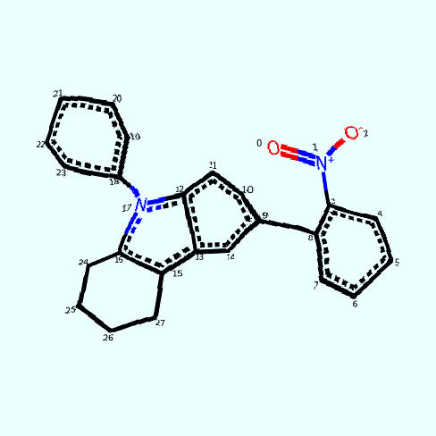 O=[N+]([O-])c1ccccc1-c1ccc2c(c1)c1c(n2-c2ccccc2)CCCC1